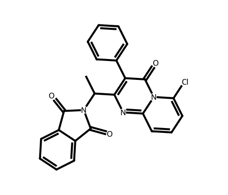 CC(c1nc2cccc(Cl)n2c(=O)c1-c1ccccc1)N1C(=O)c2ccccc2C1=O